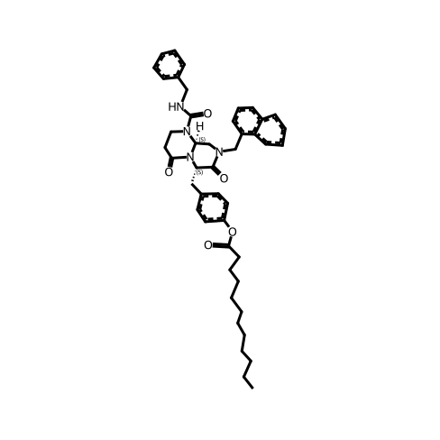 CCCCCCCCCCCC(=O)Oc1ccc(C[C@H]2C(=O)N(Cc3cccc4ccccc34)C[C@@H]3N(C(=O)NCc4ccccc4)CCC(=O)N32)cc1